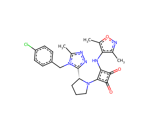 Cc1noc(C)c1Nc1c(N2CCC[C@@H]2c2nnc(C)n2Cc2ccc(Cl)cc2)c(=O)c1=O